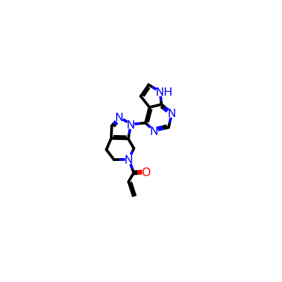 C=CC(=O)N1CCc2cnn(-c3ncnc4[nH]ccc34)c2C1